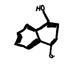 [O]c1ccc(O)c2ccccc12